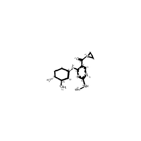 C[C@@H]1CC[C@@H](Nc2nc(NC(C)(C)C)ncc2C(=O)N2CC2)C[C@H]1O